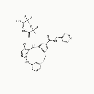 O=C(NCc1ccncc1)c1cc2cc(c1)Nc1nc(ncc1Cl)Nc1cccc(c1)CC2.O=C(O)C(F)(F)F.O=C(O)C(F)(F)F